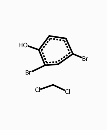 ClCCl.Oc1ccc(Br)cc1Br